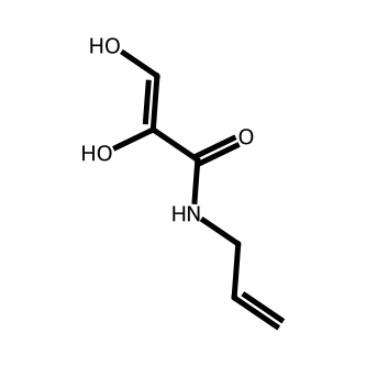 C=CCNC(=O)C(O)=CO